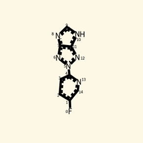 Fc1ccc(-n2nc3n[c][nH]c3n2)nc1